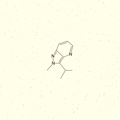 CC(C)c1c2ncccc2nn1C